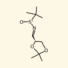 CC1(C)OC[C@H](C=N[S+]([O-])C(C)(C)C)O1